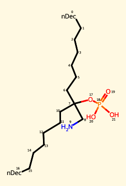 CCCCCCCCCCCCCCCCC(CN)(CCCCCCCCCCCCCCCC)OP(=O)(O)O